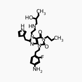 CCCn1c(=O)c2c(nc(Cc3cc[nH]c3)n2CCNCC(O)CC)n(CCc2ccc(N)cc2F)c1=O